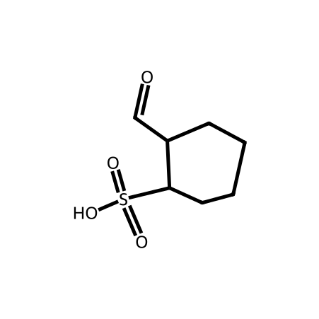 O=CC1CCCCC1S(=O)(=O)O